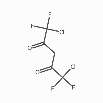 O=C(CC(=O)C(F)(F)Cl)C(F)(F)Cl